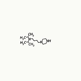 CC(C)N(CCCCN1CCNCC1)C(C)C